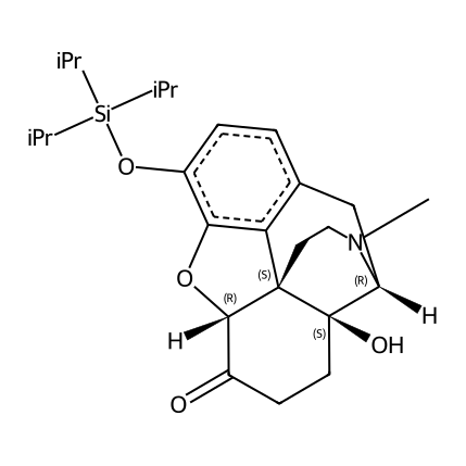 CC(C)[Si](Oc1ccc2c3c1O[C@H]1C(=O)CC[C@@]4(O)[C@@H](C2)N(C)CC[C@]314)(C(C)C)C(C)C